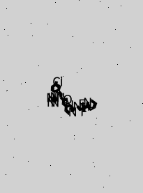 O=C(Cc1ccnc(NCC(F)(F)c2ccccn2)n1)NCc1cc(Cl)ccc1-n1cnnn1